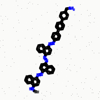 CCC(C)Nc1ccc(N=Nc2ccc(N=Nc3ccc(N=Nc4ccc(-c5ccc(C6CCC(CN)CC6)cc5)cc4)c4ccccc34)c3ccccc23)c2ccccc12